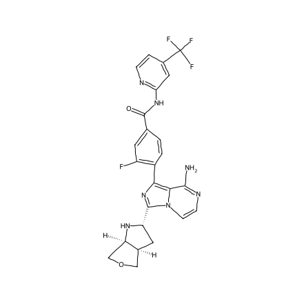 Nc1nccn2c([C@@H]3C[C@H]4COC[C@H]4N3)nc(-c3ccc(C(=O)Nc4cc(C(F)(F)F)ccn4)cc3F)c12